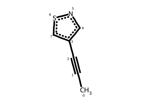 CC#Cc1cnsc1